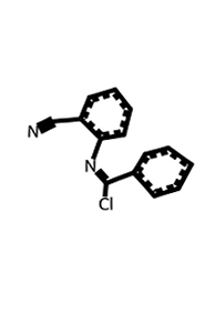 N#Cc1ccccc1/N=C(/Cl)c1ccccc1